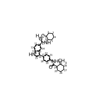 CC1CCCCC1NC(=O)c1ccc2[nH]cc(-c3ccc(NC(=O)C4CCCCC4C)cc3)c2c1